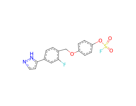 O=S(=O)(F)Oc1ccc(OCc2ccc(-c3ccn[nH]3)cc2F)cc1